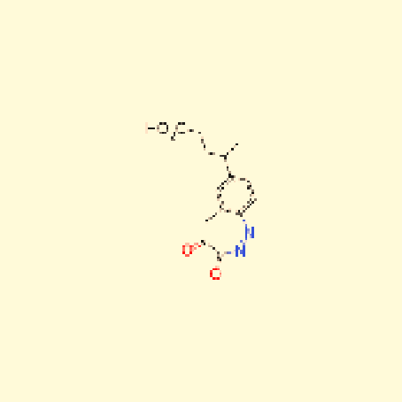 CC(CCC(=O)O)c1ccc2c(c1)CC(=O)C(=O)N=N2